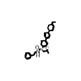 CCC1CCC(c2ccc(-c3ccc4c(c3)OC(C)CN4C(=O)NCCc3ccccc3)cc2)CC1